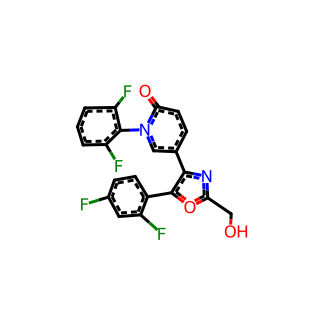 O=c1ccc(-c2nc(CO)oc2-c2ccc(F)cc2F)cn1-c1c(F)cccc1F